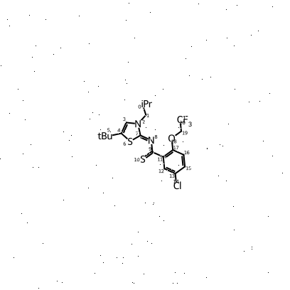 CC(C)Cn1cc(C(C)(C)C)sc1=NC(=S)c1cc(Cl)ccc1OCC(F)(F)F